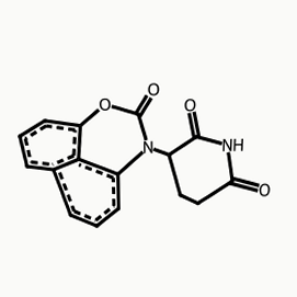 O=C1CCC(N2C(=O)Oc3cccc4cccc2c34)C(=O)N1